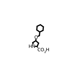 O=C(O)[C@@H]1CC(OCC2CCCCC2)CN1